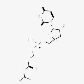 CC(C)OC(=O)OCOP(=O)(O)OC[C@]1(C)C[C@H](C)[C@H](n2ccc(=O)[nH]c2=O)O1